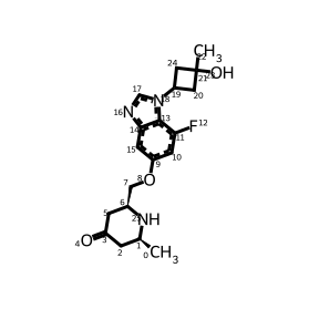 C[C@H]1CC(=O)C[C@@H](COc2cc(F)c3c(c2)ncn3C2CC(C)(O)C2)N1